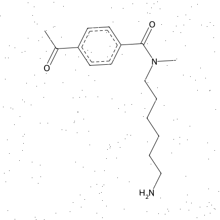 CC(=O)c1ccc(C(=O)N(C)CCCCCCN)cc1